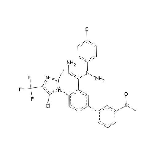 Cc1nc(C(F)(F)F)c(Cl)n1-c1ccc(-c2cccc([S+](C)[O-])c2)cc1/C(=C/N)N(N)c1ccc(Cl)cc1